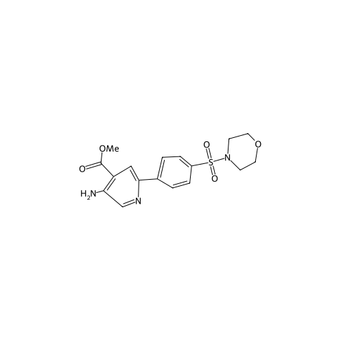 COC(=O)c1cc(-c2ccc(S(=O)(=O)N3CCOCC3)cc2)ncc1N